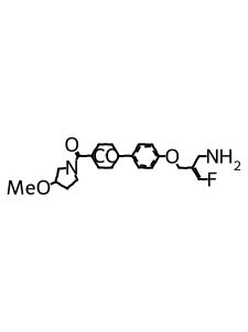 COC1CCN(C(=O)C23CCC(c4ccc(OCC(=CF)CN)cc4)(CC2)CC3)C1